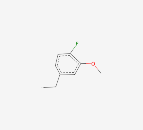 [CH2]Cc1ccc(F)c(OC)c1